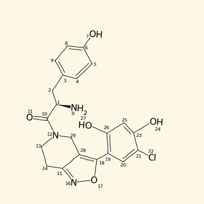 N[C@H](Cc1ccc(O)cc1)C(=O)N1CCc2noc(-c3cc(Cl)c(O)cc3O)c2C1